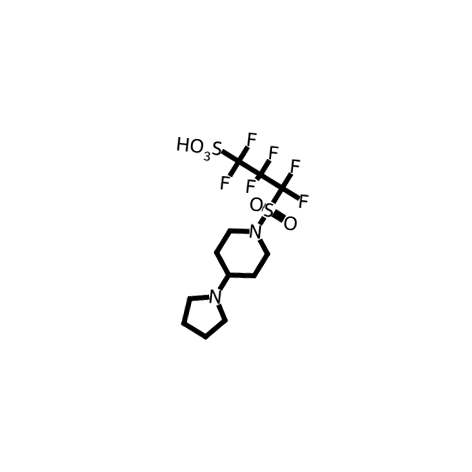 O=S(=O)(O)C(F)(F)C(F)(F)C(F)(F)S(=O)(=O)N1CCC(N2CCCC2)CC1